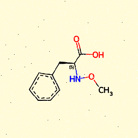 CON[C@@H](Cc1ccccc1)C(=O)O